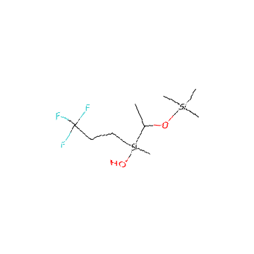 CC(O[Si](C)(C)C)[Si](C)(O)CCC(F)(F)F